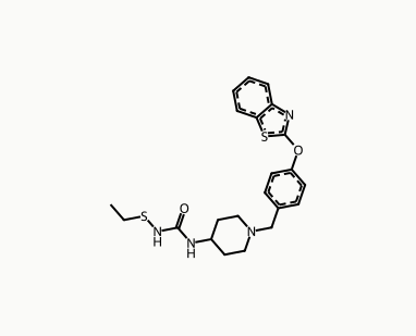 CCSNC(=O)NC1CCN(Cc2ccc(Oc3nc4ccccc4s3)cc2)CC1